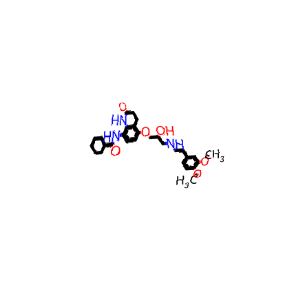 COc1ccc(CCNCC(O)COc2ccc(NC(=O)C3CCCCC3)c3c2CCC(=O)N3)cc1OC